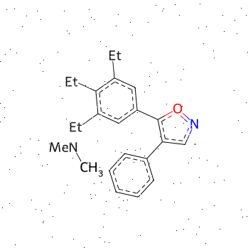 CCc1cc(-c2oncc2-c2ccccc2)cc(CC)c1CC.CNC